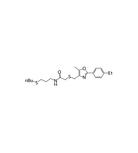 CCCCSCCCNC(=O)CSCc1nc(-c2ccc(CC)cc2)oc1C